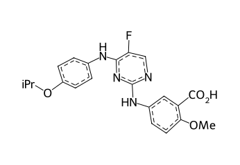 COc1ccc(Nc2ncc(F)c(Nc3ccc(OC(C)C)cc3)n2)cc1C(=O)O